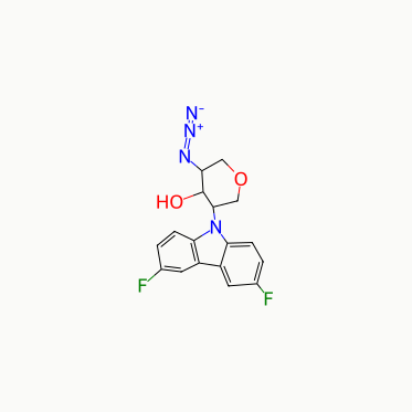 [N-]=[N+]=NC1COCC(n2c3ccc(F)cc3c3cc(F)ccc32)C1O